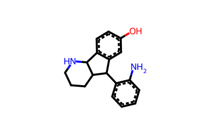 Nc1ccccc1C1c2cc(O)ccc2C2NCCCC21